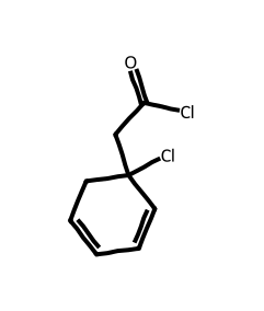 O=C(Cl)CC1(Cl)C=CC=CC1